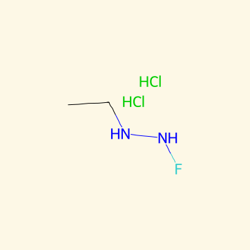 CCNNF.Cl.Cl